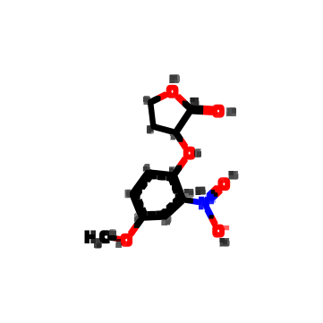 COc1ccc(OC2CCOC2=O)c([N+](=O)[O-])c1